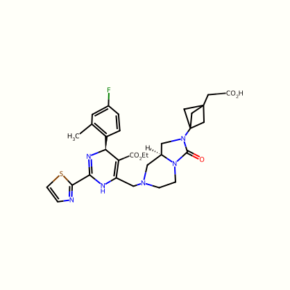 CCOC(=O)C1=C(CN2CCN3C(=O)N(C45CC(CC(=O)O)(C4)C5)C[C@@H]3C2)NC(c2nccs2)=N[C@H]1c1ccc(F)cc1C